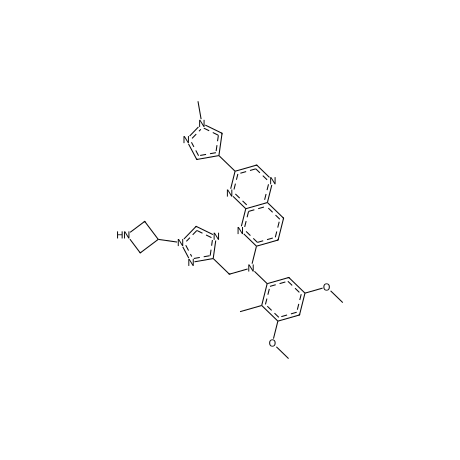 COc1cc(OC)c(C)c(N(Cc2ncn(C3CNC3)n2)c2ccc3ncc(-c4cnn(C)c4)nc3n2)c1